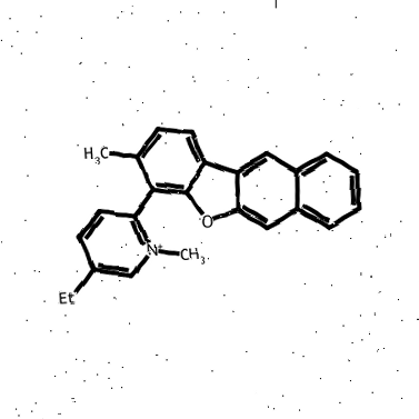 CCc1ccc(-c2c(C)ccc3c2oc2cc4ccccc4cc23)[n+](C)c1